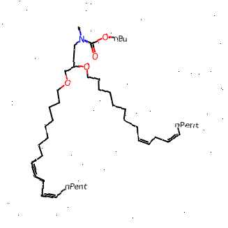 CCCCC/C=C\C/C=C\CCCCCCCCOCC(CN(C)C(=O)OCCCC)OCCCCCCCC/C=C\C/C=C\CCCCC